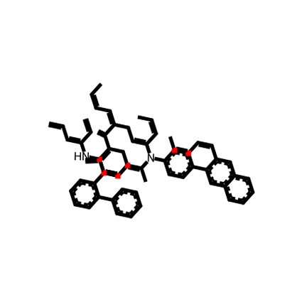 C=C/C=C(\C=C)NC1=C(C(=C)/C(=C\C=C/C)C/C=C(\C=C/C)N(/C(C)=C/C=C(\C=C)c2ccccc2-c2ccccc2)c2ccc(-c3cc4ccccc4cc3/C=C\C=C/C)cc2)CCC=C1